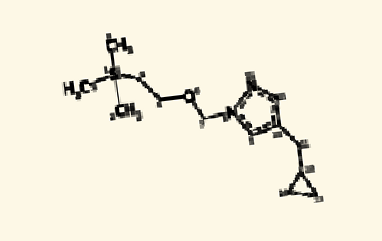 C[Si](C)(C)CCOCn1cc(CC2CC2)cn1